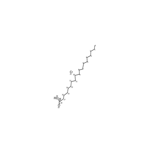 CCCCCCCCCCCCCCCCCC[PH](=O)O.[Cr]